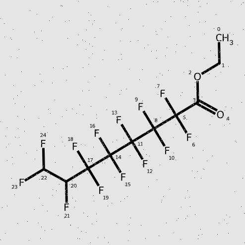 CCOC(=O)C(F)(F)C(F)(F)C(F)(F)C(F)(F)C(F)(F)C(F)C(F)F